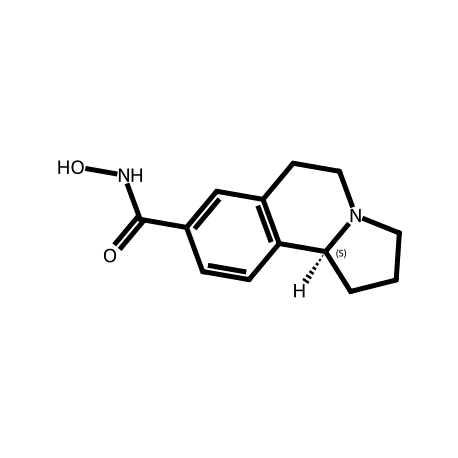 O=C(NO)c1ccc2c(c1)CCN1CCC[C@@H]21